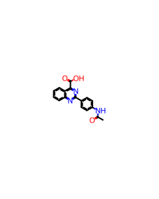 CC(=O)Nc1ccc(-c2nc(C(=O)O)c3ccccc3n2)cc1